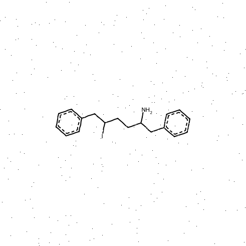 NC(CCC(I)Cc1ccccc1)Cc1ccccc1